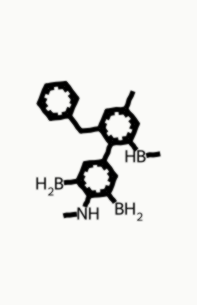 Bc1cc(-c2c(BC)cc(C)cc2Cc2ccccc2)cc(B)c1NC